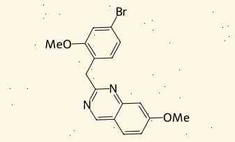 COc1ccc2cnc(Cc3ccc(Br)cc3OC)nc2c1